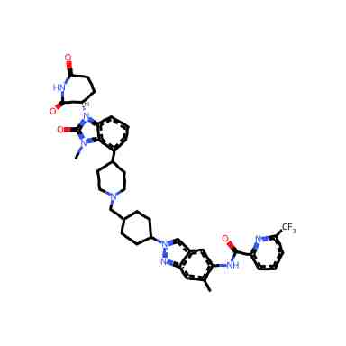 Cc1cc2nn(C3CCC(CN4CCC(c5cccc6c5n(C)c(=O)n6[C@H]5CCC(=O)NC5=O)CC4)CC3)cc2cc1NC(=O)c1cccc(C(F)(F)F)n1